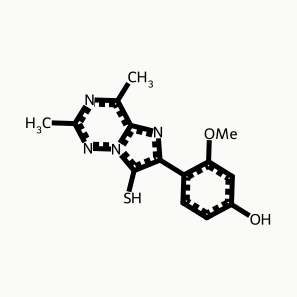 COc1cc(O)ccc1-c1nc2c(C)nc(C)nn2c1S